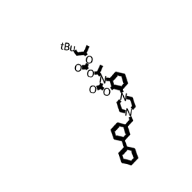 CC(CC(C)(C)C)OC(=O)OC(C)n1c(=O)oc2c(N3CCN(Cc4cccc(-c5ccccc5)c4)CC3)cccc21